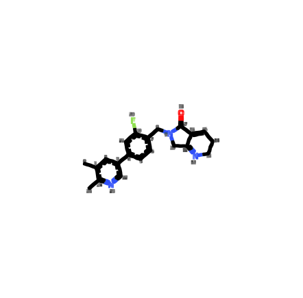 Cc1cc(-c2ccc(CN3CC4=NCCC=C4C3=O)c(F)c2)cnc1C